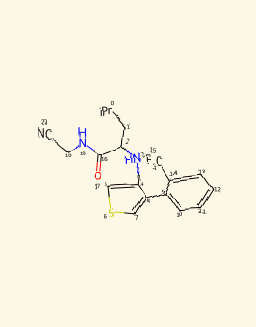 CC(C)CC(Nc1cscc1-c1ccccc1C(F)(F)F)C(=O)NCC#N